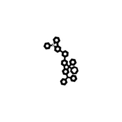 C1=CCC=C(C2(c3ccccc3)c3cc(-c4cccc(-c5ccc6c(c5)c5ccccc5n6-c5ccccc5)c4)ccc3-c3ccc(C(c4ccccc4)c4ccccc4)cc32)C=C1